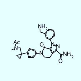 CC(=O)N(C)CC1(c2ccc(N3CCc4c(C(N)=O)nn(-c5cccc(CN)c5)c4C3=O)cc2)CC1